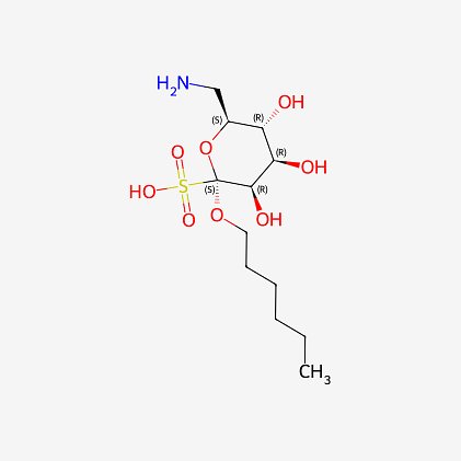 CCCCCCO[C@]1(S(=O)(=O)O)O[C@@H](CN)[C@H](O)[C@@H](O)[C@H]1O